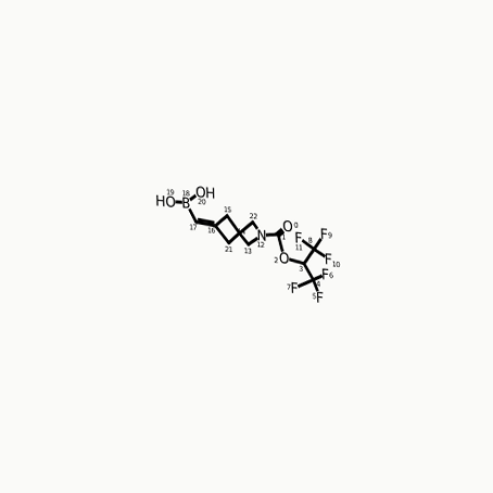 O=C(OC(C(F)(F)F)C(F)(F)F)N1CC2(CC(=CB(O)O)C2)C1